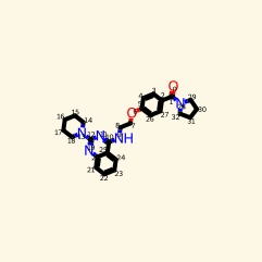 O=C(c1ccc(OCCNc2nc(N3CCCCC3)nc3ccccc23)cc1)N1CCCC1